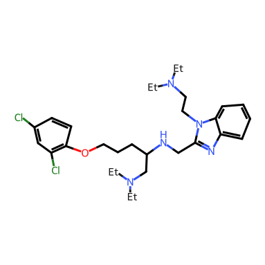 CCN(CC)CCn1c(CNC(CCCOc2ccc(Cl)cc2Cl)CN(CC)CC)nc2ccccc21